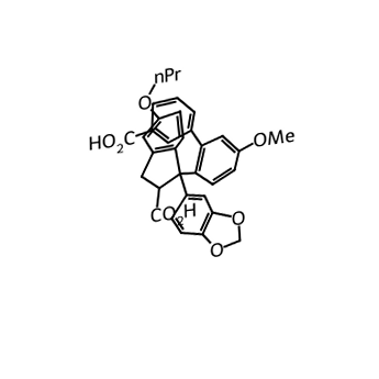 CCCOc1ccc2c(c1)CC(C(=O)O)C2(c1ccc2c(c1)OCO2)c1ccc(OC)cc1-c1cccc(C(=O)O)c1